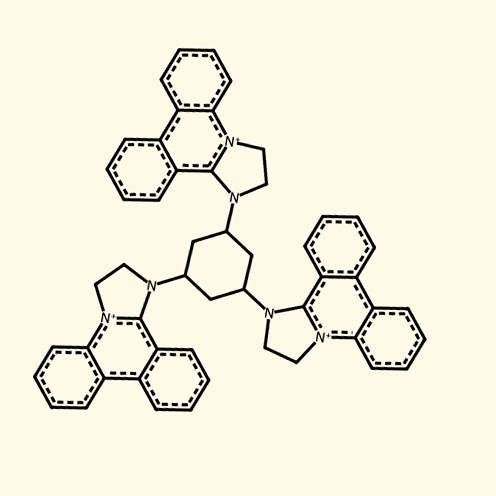 c1ccc2c(c1)c1[n+](c3ccccc23)CCN1C1CC(N2CC[n+]3c2c2ccccc2c2ccccc23)CC(N2CC[n+]3c2c2ccccc2c2ccccc23)C1